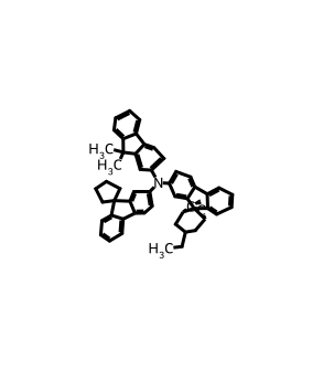 CCC1CC2CCCC(C1)C21c2ccccc2-c2ccc(N(c3ccc4c(c3)C(C)(C)c3ccccc3-4)c3ccc4c(c3)C3(CCCC3)c3ccccc3-4)cc21